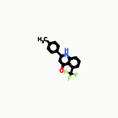 Cc1ccc(-c2cc(=O)c3c(C(F)(F)F)cccc3[nH]2)cc1